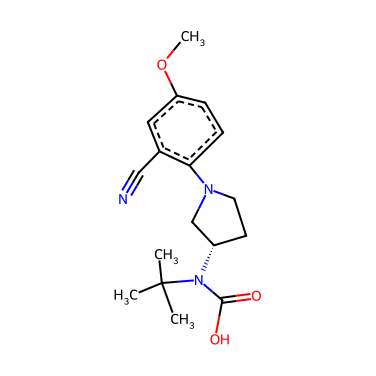 COc1ccc(N2CC[C@H](N(C(=O)O)C(C)(C)C)C2)c(C#N)c1